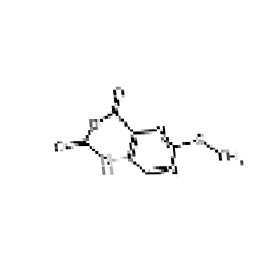 CSc1ncc2[nH]c(=O)oc(=O)c2n1